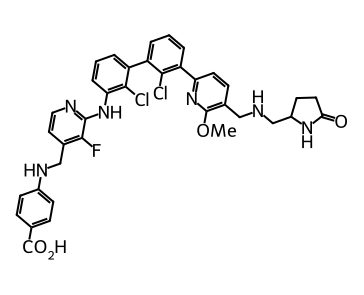 COc1nc(-c2cccc(-c3cccc(Nc4nccc(CNc5ccc(C(=O)O)cc5)c4F)c3Cl)c2Cl)ccc1CNCC1CCC(=O)N1